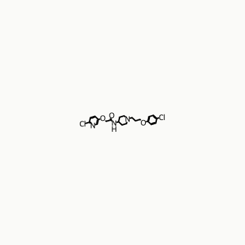 O=C(COc1ccc(Cl)nc1)NC1CCN(CCCOc2ccc(Cl)cc2)CC1